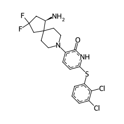 N[C@@H]1CC(F)(F)CC12CCN(c1ccc(Sc3cccc(Cl)c3Cl)[nH]c1=O)CC2